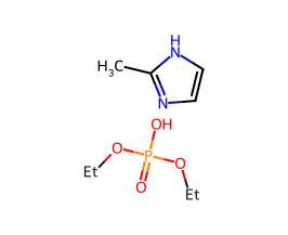 CCOP(=O)(O)OCC.Cc1ncc[nH]1